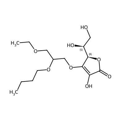 CCCCOC(COCC)COC1=C(O)C(=O)O[C@@H]1[C@@H](O)CO